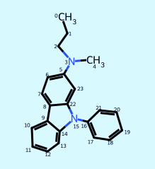 CCCN(C)c1ccc2c3ccccc3n(-c3ccccc3)c2c1